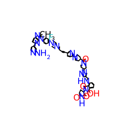 Cc1nc2ccc(-c3ccnc(N)c3)nc2n1-c1ccc(N2CCN(CCC#Cc3ccc(N4CCC(C(=O)N5CCC(n6cc(CNc7cccc8c7C(=O)N(C7CCC(=O)NC7=O)C8O)cn6)CC5)CC4)nc3)CC2)c(F)c1